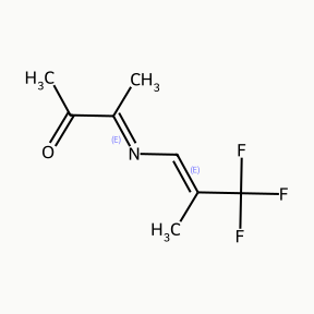 CC(=O)/C(C)=N/C=C(\C)C(F)(F)F